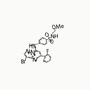 COCCNS(=O)(=O)c1ccc(Nc2cc(-c3ccccc3F)nc3c(Br)cnn23)cc1